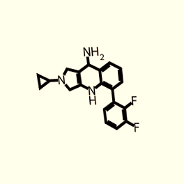 NC1C2=C(CN(C3CC3)C2)Nc2c(-c3cccc(F)c3F)cccc21